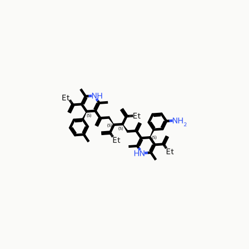 C=C(CC)C1=C(C)NC(C)=C(C(=C)C[C@H](C(=C)CC)[C@H](CC(=C)C2=C(C)NC(C)=C(C(=C)CC)[C@@H]2c2cccc(N)c2)C(=C)CC)[C@H]1c1cccc(C)c1